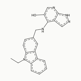 CCn1c2ccccc2c2cc(CNc3c(O)cnc4[nH]ncc34)ccc21